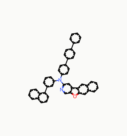 c1ccc(-c2ccc(-c3ccc(N(c4cccc(-c5cccc6ccccc56)c4)c4cc5c(cn4)oc4cc6ccccc6cc45)cc3)cc2)cc1